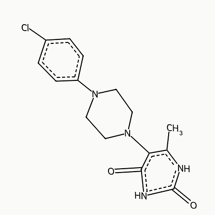 Cc1[nH]c(=O)[nH]c(=O)c1N1CCN(c2ccc(Cl)cc2)CC1